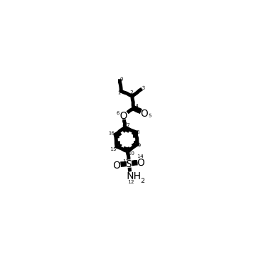 CCC(C)C(=O)Oc1ccc(S(N)(=O)=O)cc1